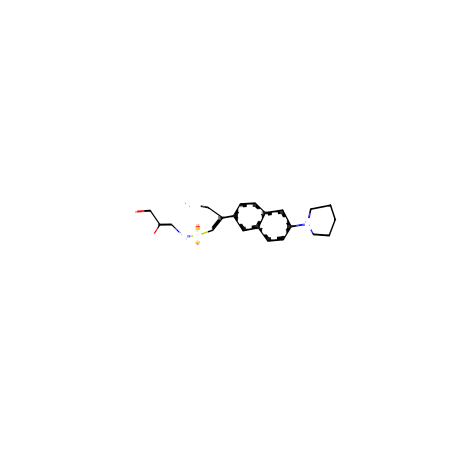 N#CCC(=CS(=O)(=O)NCC(O)CO)c1ccc2cc(N3CCCCC3)ccc2c1